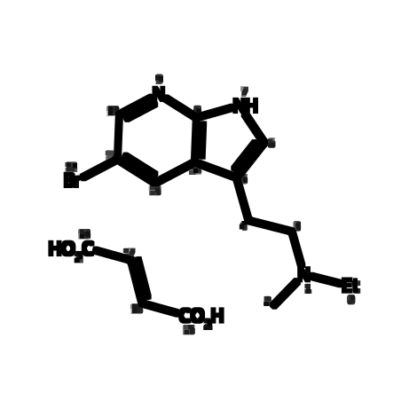 CCN(C)CCc1c[nH]c2ncc(Br)cc12.O=C(O)/C=C/C(=O)O